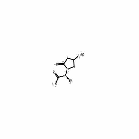 CC[C@@H](C(N)=O)N1CC(C=O)CC1=O